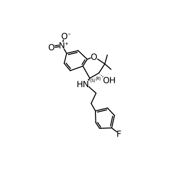 CC1(C)Oc2cc([N+](=O)[O-])ccc2[C@H](NCCc2ccc(F)cc2)[C@H]1O